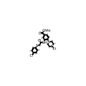 CCN1CCN(c2ccc(C(=O)OC)cc2NC(=O)CSc2ccc(Cl)cc2)CC1